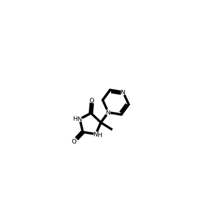 CC1(N2C=CN=CC2)NC(=O)NC1=O